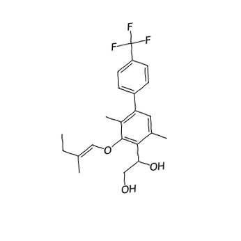 CC/C(C)=C/Oc1c(C)c(-c2ccc(C(F)(F)F)cc2)cc(C)c1C(O)CO